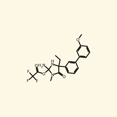 CCC1(c2cccc(-c3cccc(OC)c3)c2)NC(N)(OC(=O)C(F)(F)F)N(C)C1=O